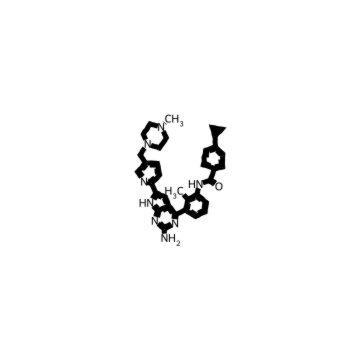 Cc1c(NC(=O)c2ccc(C3CC3)cc2)cccc1-c1nc(N)nc2[nH]c(-c3ccc(CN4CCN(C)CC4)cn3)cc12